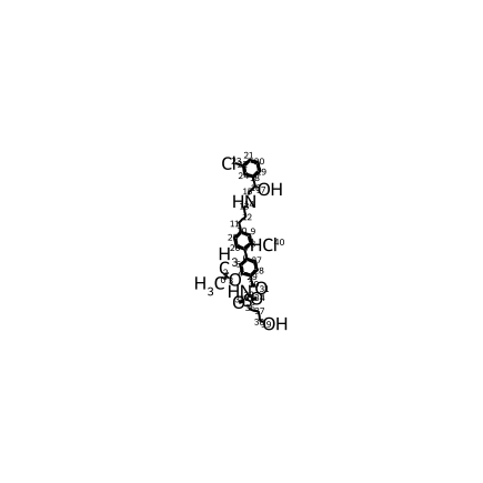 CC(C)Oc1cc(-c2ccc(CCCNC[C@@H](O)c3cccc(Cl)c3)cc2)ccc1C(=O)NS(=O)(=O)CCCO.Cl